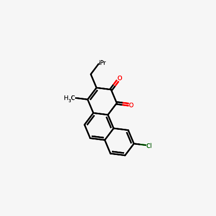 CC1=C(CC(C)C)C(=O)C(=O)c2c1ccc1ccc(Cl)cc21